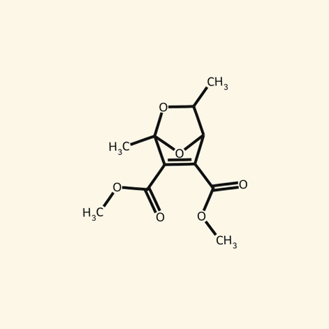 COC(=O)C1=C(C(=O)OC)C2(C)OC(C)C1O2